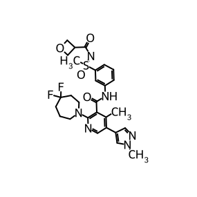 Cc1c(-c2cnn(C)c2)cnc(N2CCCC(F)(F)CC2)c1C(=O)Nc1cccc(S(C)(=O)=NC(=O)C2COC2)c1